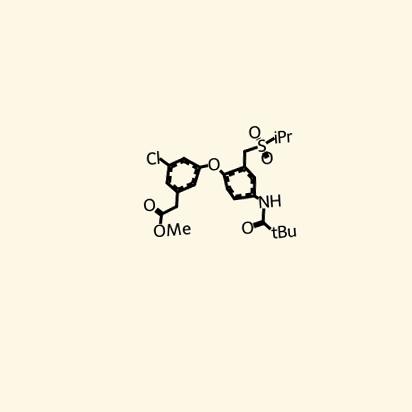 COC(=O)Cc1cc(Cl)cc(Oc2ccc(NC(=O)C(C)(C)C)cc2CS(=O)(=O)C(C)C)c1